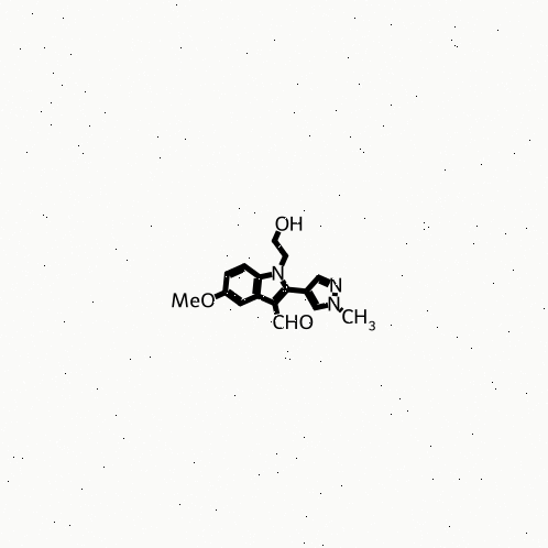 COc1ccc2c(c1)c(C=O)c(-c1cnn(C)c1)n2CCO